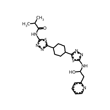 CC(C)C(=O)Nc1nnc(C2CCC(c3nnc(NC(O)Cc4ccccn4)s3)CC2)s1